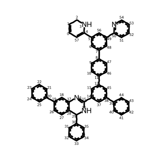 C1=CCNC(c2cc(-c3ccc(-c4cc(C5=Nc6cc(-c7ccccc7)ccc6C(c6ccccc6)N5)cc(-c5ccccc5)c4)cc3)cc(-c3ccccn3)c2)=C1